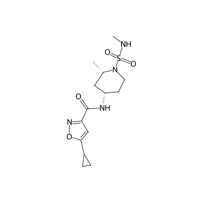 CNS(=O)(=O)N1CC[C@H](NC(=O)c2cc(C3CC3)on2)C[C@@H]1C